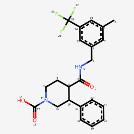 Cc1cc(CNC(=O)C2CCN(C(=O)O)CC2c2ccccc2)cc(C(F)(F)F)c1